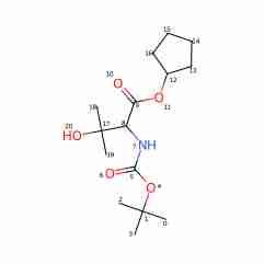 CC(C)(C)OC(=O)NC(C(=O)OC1CCCC1)C(C)(C)O